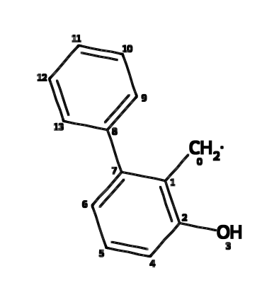 [CH2]c1c(O)cccc1-c1ccccc1